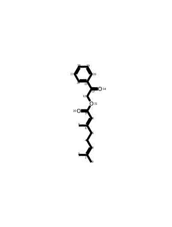 CC(C)=CCC/C(C)=C/C(=O)OCC(=O)c1ccccc1